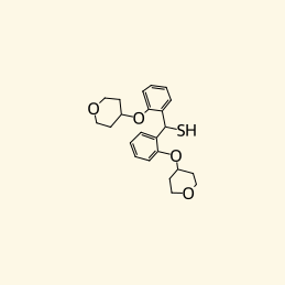 SC(c1ccccc1OC1CCOCC1)c1ccccc1OC1CCOCC1